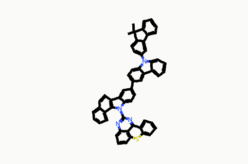 CC1(C)c2ccccc2-c2cc(-n3c4ccccc4c4cc(-c5ccc6c(c5)c5ccc7ccccc7c5n6-c5nc6c7c(cccc7n5)Sc5ccccc5-6)ccc43)ccc21